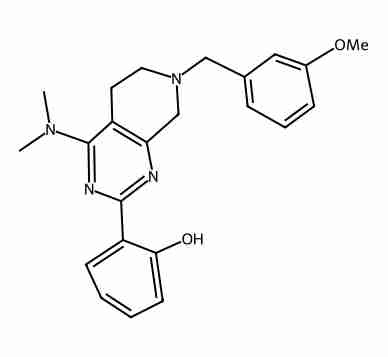 COc1cccc(CN2CCc3c(nc(-c4ccccc4O)nc3N(C)C)C2)c1